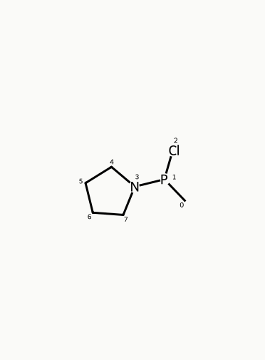 CP(Cl)N1CCCC1